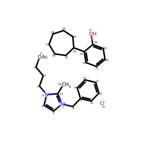 CC(=O)OCCCn1cc[n+](Cc2ccccc2)c1C.Oc1ccccc1C1CCCCCC1.[Cl-]